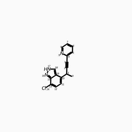 CC(C#Cc1ccccn1)c1ccc(Cl)c2n[nH]cc12